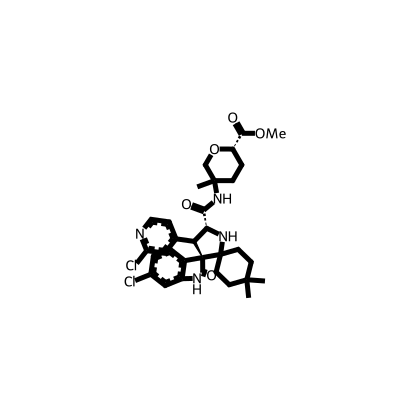 COC(=O)[C@@H]1CCC(C)(NC(=O)[C@@H]2NC3(CCC(C)(C)CC3)[C@@]3(C(=O)Nc4cc(Cl)ccc43)C2c2ccnc(Cl)c2)CO1